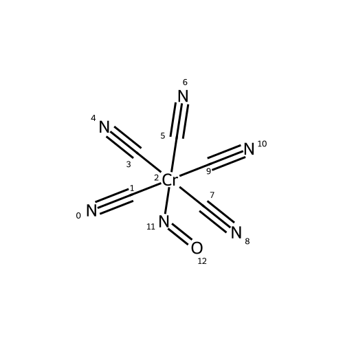 N#[C][Cr]([C]#N)([C]#N)([C]#N)([C]#N)[N]=O